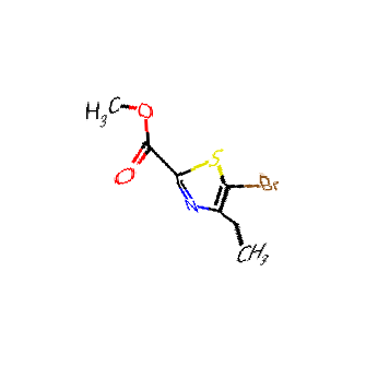 COC(=O)c1nc(C)c(Br)s1